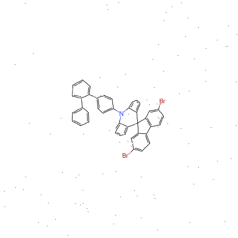 Brc1ccc2c(c1)C1(c3cc(Br)ccc3-2)c2ccccc2N(c2ccc(-c3ccccc3-c3ccccc3)cc2)c2ccccc21